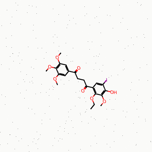 CCOc1c(C(=O)CCC(=O)c2cc(OC)c(OC)c(OC)c2)cc(I)c(O)c1OC